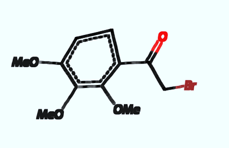 COc1ccc(C(=O)CBr)c(OC)c1OC